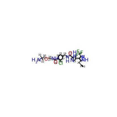 C#CCc1[nH]nc(C(F)(F)F)c1-c1cnc(C(=O)NCc2ccc(C(=O)NCCOCC(C)(C)N)c(Cl)c2)[nH]1